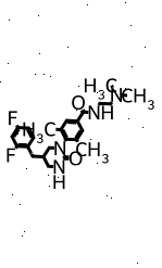 Cc1cc(C(=O)NCCN(C)C)cc(C)c1N1CC(Cc2ccc(F)cc2F)CNC1=O